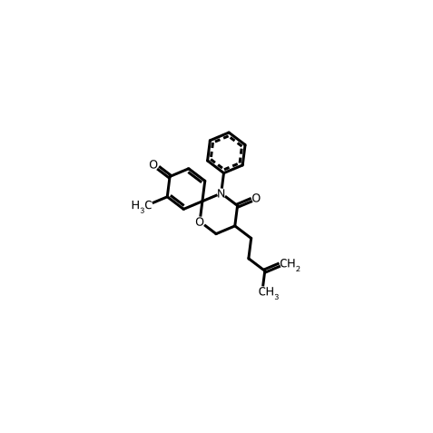 C=C(C)CCC1COC2(C=CC(=O)C(C)=C2)N(c2ccccc2)C1=O